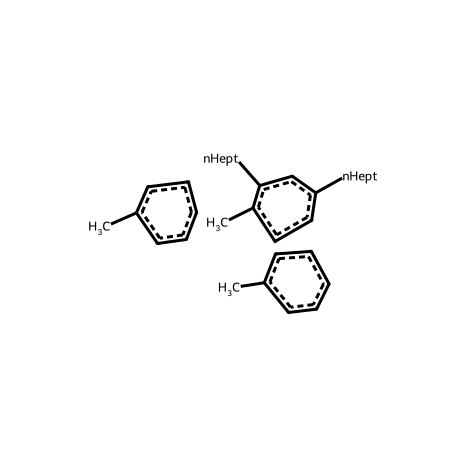 CCCCCCCc1ccc(C)c(CCCCCCC)c1.Cc1ccccc1.Cc1ccccc1